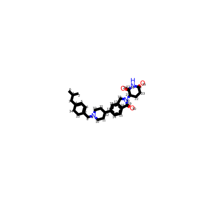 CC(C)CC1=CC=C(CN2CCC(c3ccc4c(c3)CN(C3CCC(=O)NC3=O)C4=O)CC2)CC1